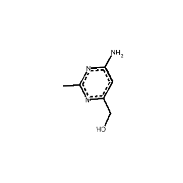 Cc1nc(N)cc(CO)n1